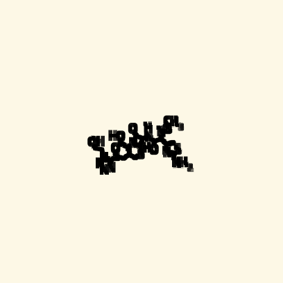 CON=C(C(=O)NC1C(=O)N2C(C(=O)O)=C(CSc3nnnn3CCO)CS[C@@H]12)c1csc(N)n1